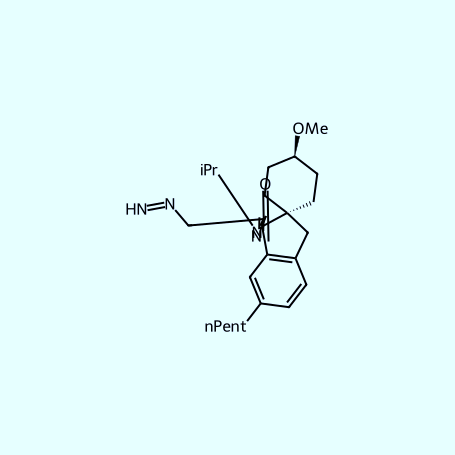 CCCCCc1ccc2c(c1)C1(N=C(CN=N)N(C(C)C)C1=O)[C@]1(CC[C@H](OC)CC1)C2